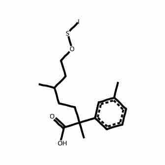 Cc1cccc(C(C)(CCC(C)CCOSI)C(=O)O)c1